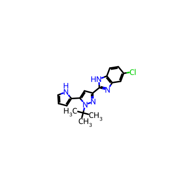 CC(C)(C)n1nc(-c2nc3cc(Cl)ccc3[nH]2)cc1-c1ccc[nH]1